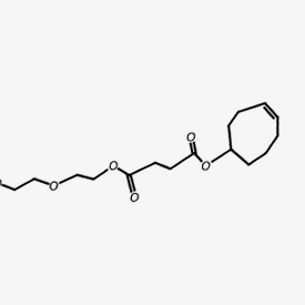 COCCOCCOC(=O)CCC(=O)OC1CC/C=C\CCC1